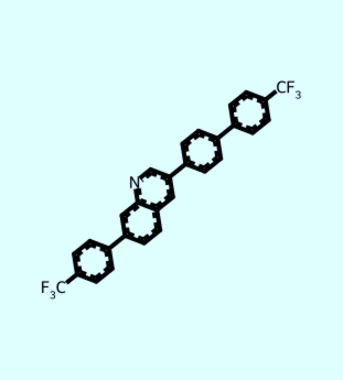 FC(F)(F)c1ccc(-c2ccc(-c3cnc4cc(-c5ccc(C(F)(F)F)cc5)ccc4c3)cc2)cc1